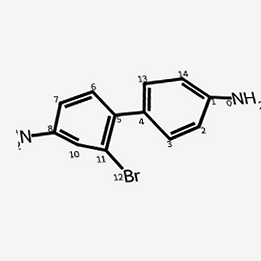 Nc1ccc(-c2ccc(N)cc2Br)cc1